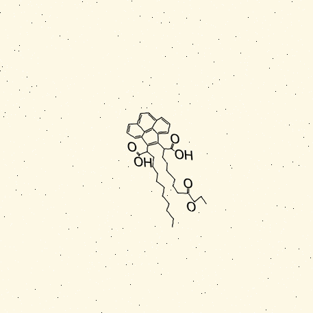 CCCCCCCCCCC(C(=O)O)c1c(C(CCCCCCC(=O)C(=O)CC)C(=O)O)c2cccc3ccc4cccc1c4c32